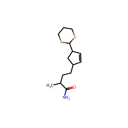 CC(CCC1C=CC(C2SCCCS2)C1)C(N)=O